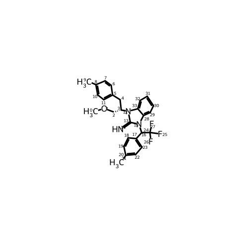 COC[C@H](Cc1ccc(C)cc1)n1c(=N)n(C(c2ccc(C)cc2)C(F)(F)F)c2ccccc21